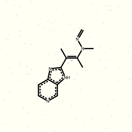 C=NN(C)/C(C)=C(\C)c1nc2ccncc2[nH]1